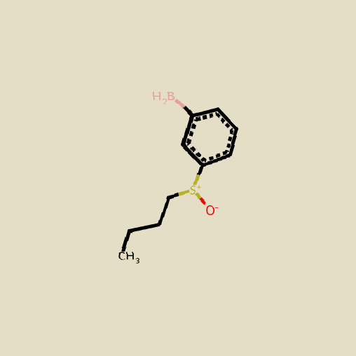 Bc1cccc([S+]([O-])CCCC)c1